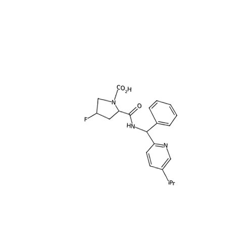 CC(C)c1ccc(C(NC(=O)C2CC(F)CN2C(=O)O)c2ccccc2)nc1